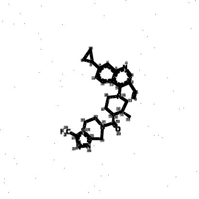 C=Cc1cnc2cc(C3CC3)ccc2c1N1CC[C@H](C(=O)N2CCn3c(nnc3C(F)(F)F)C2)[C@H](C)C1